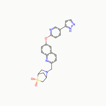 O=S1(=O)CC2CC1CN2Cc1ccc2cc(Oc3ccc(-c4ccn[nH]4)cn3)ccc2n1